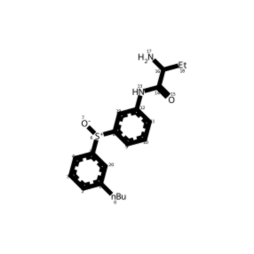 CCCCc1cccc([S+]([O-])c2cccc(NC(=O)C(N)CC)c2)c1